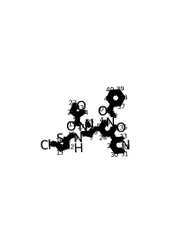 O=C(Cn1cc(-c2cc(NCc3ccc(Cl)s3)n(C(=O)c3ccoc3)n2)cc(-c2cccnc2)c1=O)c1ccccc1